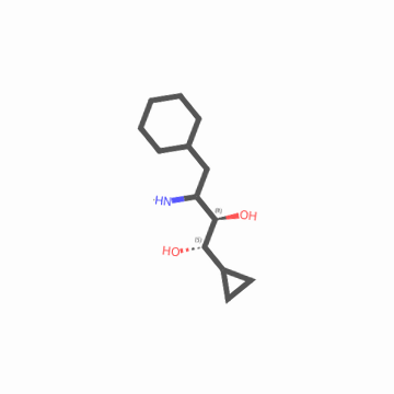 [NH]C(CC1CCCCC1)[C@@H](O)[C@@H](O)C1CC1